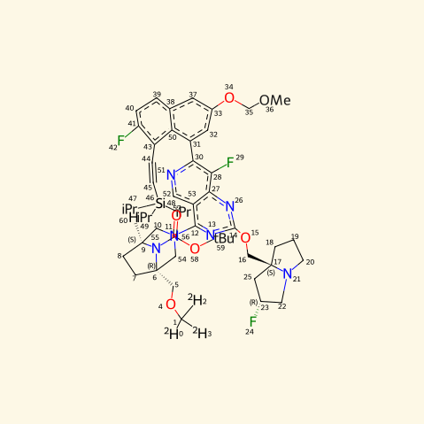 [2H]C([2H])([2H])OC[C@@]12CC[C@@H](CN(c3nc(OC[C@@]45CCCN4C[C@H](F)C5)nc4c(F)c(-c5cc(OCOC)cc6ccc(F)c(C#C[Si](C(C)C)(C(C)C)C(C)C)c56)ncc34)C1)N2C(=O)OC(C)(C)C